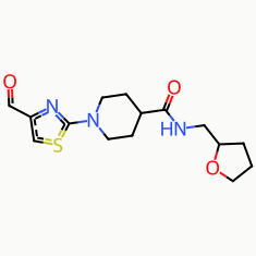 O=Cc1csc(N2CCC(C(=O)NCC3CCCO3)CC2)n1